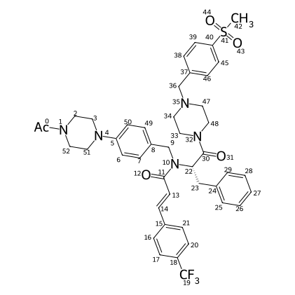 CC(=O)N1CCN(c2ccc(CN(C(=O)C=Cc3ccc(C(F)(F)F)cc3)[C@@H](Cc3ccccc3)C(=O)N3CCN(Cc4ccc(S(C)(=O)=O)cc4)CC3)cc2)CC1